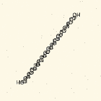 OOOOOOOOOOOOOOOOOOOOOOOOOOOOOOOOO